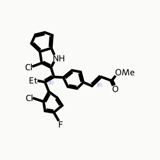 CC/C(=C(/c1ccc(/C=C/C(=O)OC)cc1)c1[nH]c2ccccc2c1Cl)c1ccc(F)cc1Cl